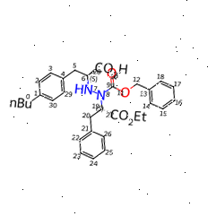 CCCCc1ccc(C[C@H](NN(C(=O)OCc2ccccc2)[C@@H](Cc2ccccc2)C(=O)OCC)C(=O)O)cc1